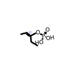 C/C=C(\CC)OP(=O)(O)O